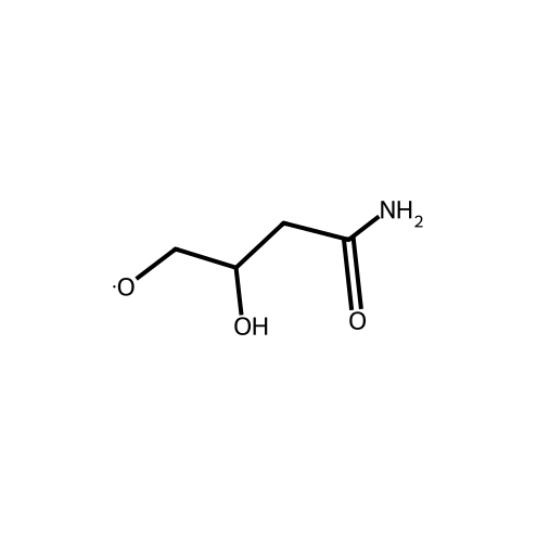 NC(=O)CC(O)C[O]